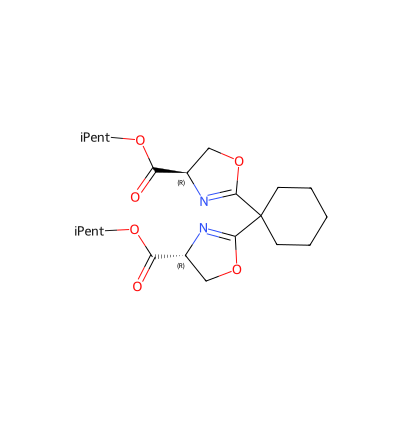 CCCC(C)OC(=O)[C@H]1COC(C2(C3=N[C@@H](C(=O)OC(C)CCC)CO3)CCCCC2)=N1